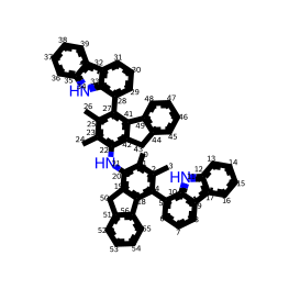 Cc1c(C)c(-c2cccc3c2[nH]c2ccccc23)c2c(c1Nc1c(C)c(C)c(-c3cccc4c3[nH]c3ccccc34)c3c1Cc1ccccc1-3)Cc1ccccc1-2